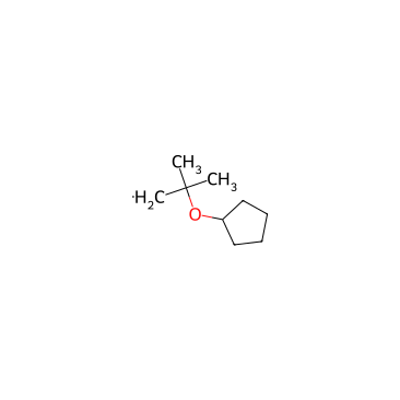 [CH2]C(C)(C)OC1CCCC1